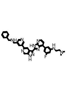 CN(C)CCNc1cc(F)cc(-c2ccnc3[nH]c(-c4n[nH]c5cnc(-c6cncc(CNCc7ccccc7)c6)cc45)nc23)c1